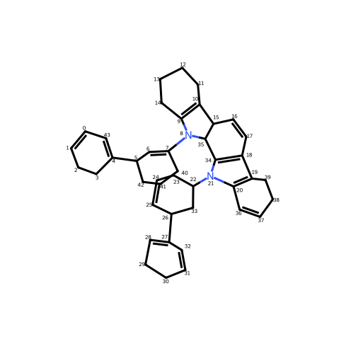 C1=CCCC(C2C=C(N3C4=C(CCCC4)C4C=Cc5c6c(n(C7CC=CC(C8=CCCC=C8)C7)c5C43)C=CCC6)CCC2)=C1